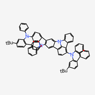 CC(C)(C)c1ccc(-c2ccccc2)c(N(c2ccccc2)c2ccc3c4cc5c(cc4n4c6ccccc6c2c34)c2ccc(N(c3ccccc3)c3cc(C(C)(C)C)ccc3-c3ccccc3)c3c4ccccc4n5c23)c1